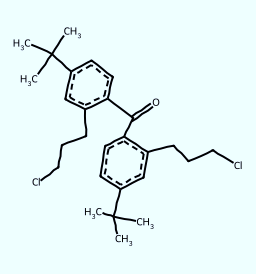 CC(C)(C)c1ccc(C(=O)c2ccc(C(C)(C)C)cc2CCCCl)c(CCCCl)c1